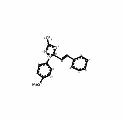 CSc1ccc(-n2nc(C(F)(F)F)nc2C=Cc2ccccc2)cc1